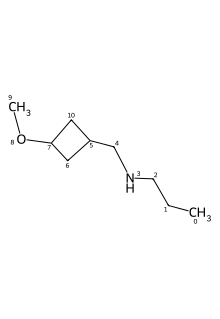 CCCNCC1CC(OC)C1